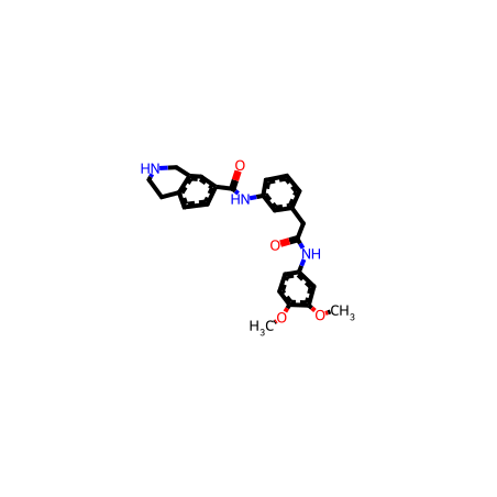 COc1ccc(NC(=O)Cc2cccc(NC(=O)c3ccc4c(c3)CNCC4)c2)cc1OC